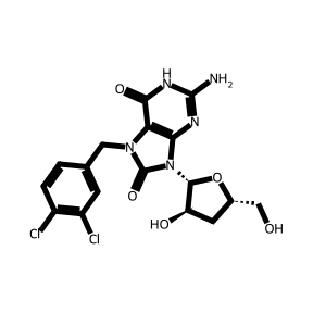 Nc1nc2c(c(=O)[nH]1)n(Cc1ccc(Cl)c(Cl)c1)c(=O)n2[C@@H]1O[C@H](CO)C[C@H]1O